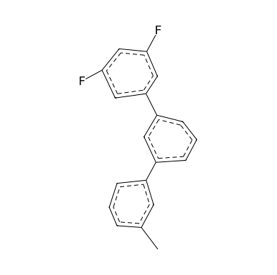 Cc1cccc(-c2cccc(-c3cc(F)cc(F)c3)c2)c1